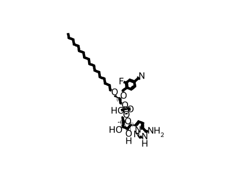 CCCCCCCCCCCCCCCCCCOC[C@H](COP(=O)(O)OC[C@@]1(C)O[C@@H](c2ccc3n2N=CNC3N)[C@H](O)[C@@H]1O)OCc1ccc(C#N)cc1F